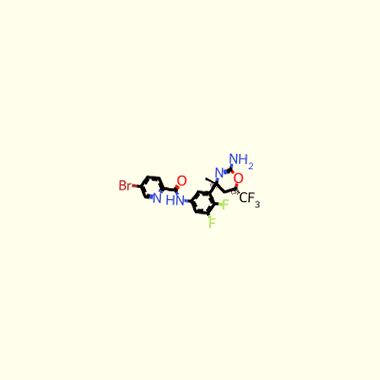 C[C@]1(c2cc(NC(=O)c3ccc(Br)cn3)cc(F)c2F)C[C@@H](C(F)(F)F)OC(N)=N1